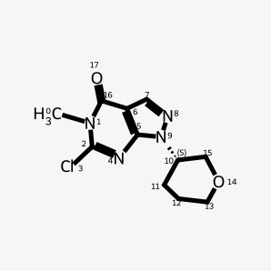 Cn1c(Cl)nc2c(cnn2[C@H]2CCCOC2)c1=O